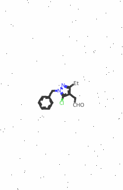 [CH2]Cc1nn(Cc2ccccc2)c(Cl)c1CC=O